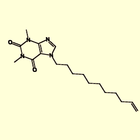 C=CCCCCCCCCCn1cnc2c1c(=O)n(C)c(=O)n2C